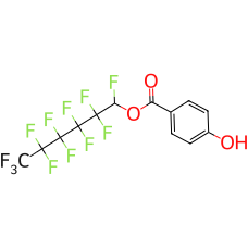 O=C(OC(F)C(F)(F)C(F)(F)C(F)(F)C(F)(F)C(F)(F)F)c1ccc(O)cc1